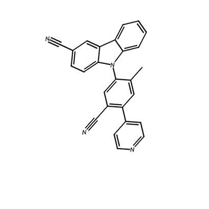 Cc1cc(-c2ccncc2)c(C#N)cc1-n1c2ccccc2c2cc(C#N)ccc21